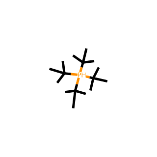 CC(C)(C)[PH](C(C)(C)C)(C(C)(C)C)C(C)(C)C